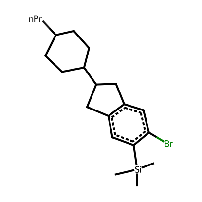 CCCC1CCC(C2Cc3cc(Br)c([Si](C)(C)C)cc3C2)CC1